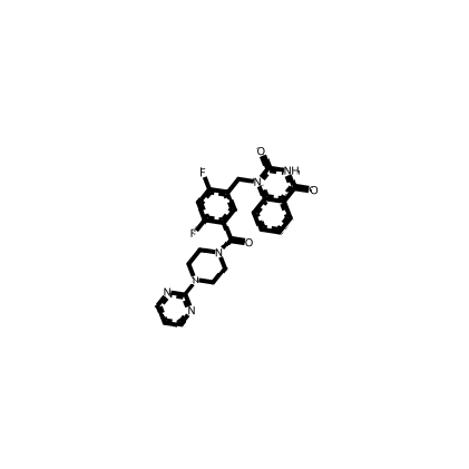 O=C(c1cc(Cn2c(=O)[nH]c(=O)c3ccccc32)c(F)cc1F)N1CCN(c2ncccn2)CC1